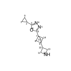 C1CC1c1nnc(C23CC(C4CNC4)(C2)C3)o1